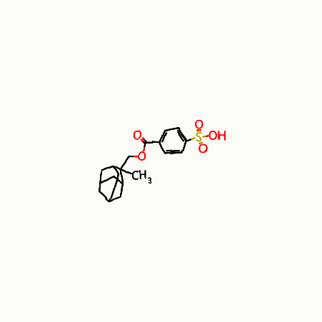 CC1(COC(=O)c2ccc(S(=O)(=O)O)cc2)C2CC3CC(C2)CC1C3